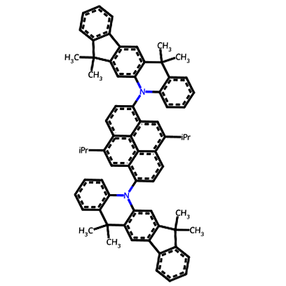 CC(C)c1cc2c(N3c4ccccc4C(C)(C)c4cc5c(cc43)C(C)(C)c3ccccc3-5)ccc3c(C(C)C)cc4c(N5c6ccccc6C(C)(C)c6cc7c(cc65)C(C)(C)c5ccccc5-7)ccc1c4c32